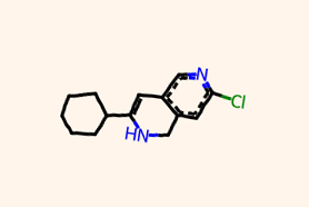 Clc1cc2c(cn1)C=C(C1CCCCC1)NC2